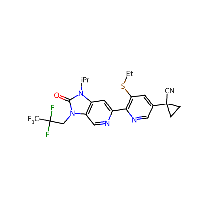 CCSc1cc(C2(C#N)CC2)cnc1-c1cc2c(cn1)n(CC(F)(F)C(F)(F)F)c(=O)n2C(C)C